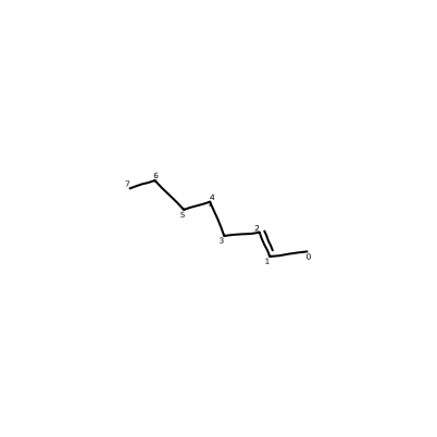 CC=CC[CH]CCC